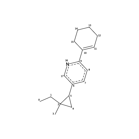 CCC1(C)CC1c1ccc(C2=CCCCC2)nc1